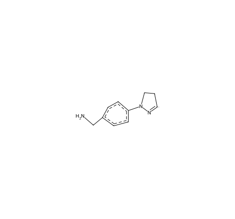 NCc1ccc(N2CC[C]=N2)cc1